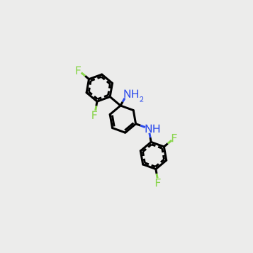 NC1(c2ccc(F)cc2F)C=CC=C(Nc2ccc(F)cc2F)C1